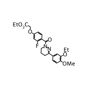 CCOC(=O)COc1ccc(C(=O)N2CCCC(c3ccc(OC)c(OCC)c3)=N2)c(F)c1